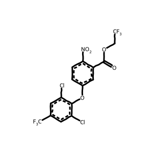 O=C(OCC(F)(F)F)c1cc(Oc2c(Cl)cc(C(F)(F)F)cc2Cl)ccc1[N+](=O)[O-]